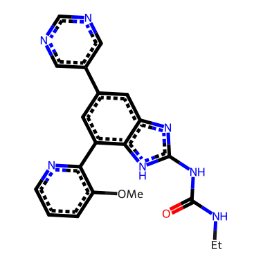 CCNC(=O)Nc1nc2cc(-c3cncnc3)cc(-c3ncccc3OC)c2[nH]1